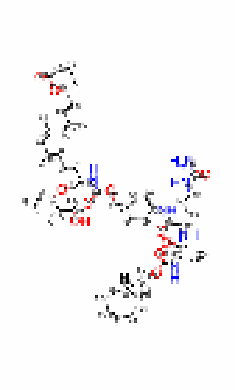 C/C=C/[C@@H]1O[C@H]([C@@H](/C=C/C=C(\C)C[C@@H](C)/C=C(C)\C=C\[C@H]2CC=CC(=O)O2)NC(=O)OCc2ccc(NC(=O)[C@H](CCCNC(N)=O)NC(=O)[C@@H](NC(=O)OCC3[C@H]4CCC#CCC[C@@H]34)C(C)C)cc2)C[C@@H](O)[C@@H]1C